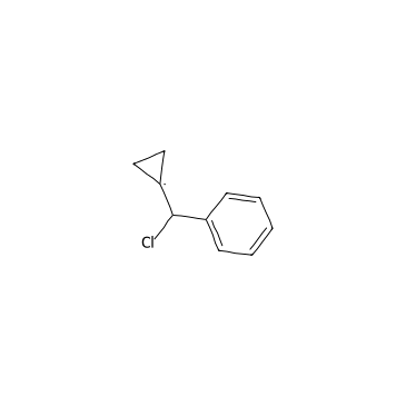 ClC([C]1CC1)c1ccccc1